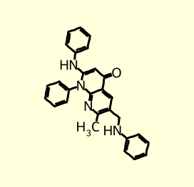 Cc1nc2c(cc1CNc1ccccc1)c(=O)cc(Nc1ccccc1)n2-c1ccccc1